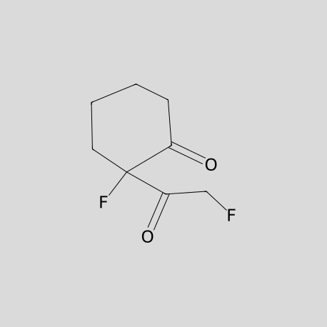 O=C(CF)C1(F)CCCCC1=O